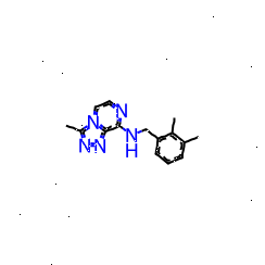 Cc1cccc(CNc2nccn3c(C)nnc23)c1C